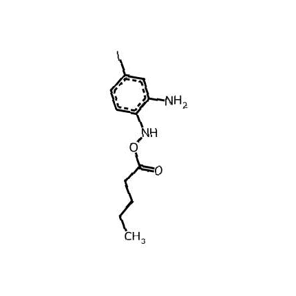 CCCCC(=O)ONc1ccc(I)cc1N